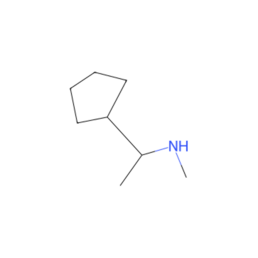 CNC(C)C1CCCC1